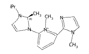 CC(C)N1C=CN(c2cccc(-c3nccn3C)[n+]2C)[C@@H]1C